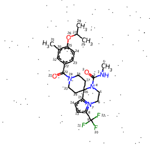 CNC(=O)N1CCn2c(C(F)(F)F)ccc2C12CCN(C(=O)c1ccc(OC(C)C)c(C)c1)CC2